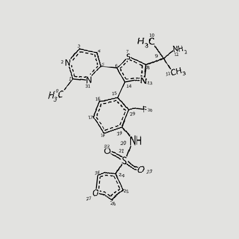 Cc1nccc(-c2sc(C(C)(C)N)nc2-c2cccc(NS(=O)(=O)c3ccoc3)c2F)n1